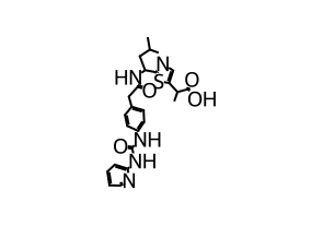 CC(C)CC(NC(=O)Cc1ccc(NC(=O)Nc2ccccn2)cc1)c1ncc(C(C)C(=O)O)s1